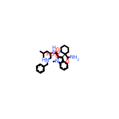 CC(C)CC(CNCc1ccccc1)NC(=O)[C@@H]1CCCC[C@@]1(C(N)=O)c1c(C(=O)O)n(C)c2ccccc12